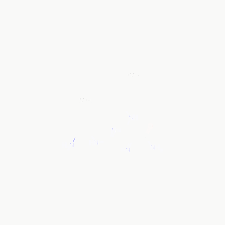 COc1cc(Nc2nc(NC3CCCC[C@@H]3N)cnc2C(N)=O)cc(OC)c1